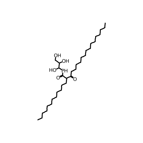 CCCCCCCCCCCCCCCC(=O)C(CCCCCCCCCCCC)C(=O)PC(O)C(O)CO